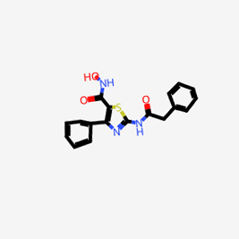 O=C(Cc1ccccc1)Nc1nc(-c2ccccc2)c(C(=O)NO)s1